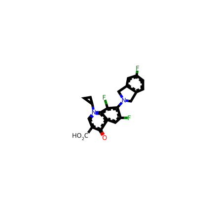 O=C(O)c1cn(C2CC2)c2c(F)c(N3Cc4ccc(F)cc4C3)c(F)cc2c1=O